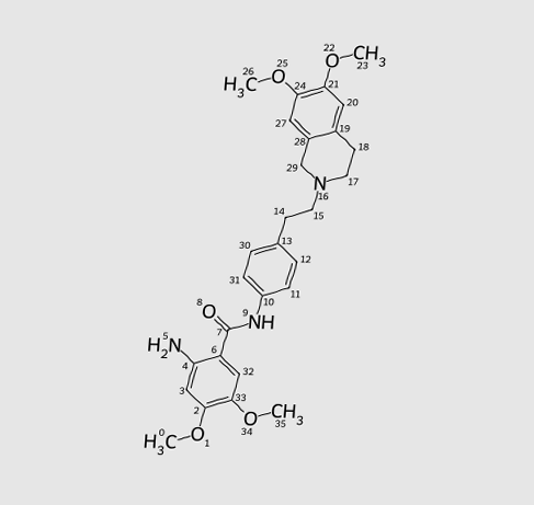 COc1cc(N)c(C(=O)Nc2ccc(CCN3CCc4cc(OC)c(OC)cc4C3)cc2)cc1OC